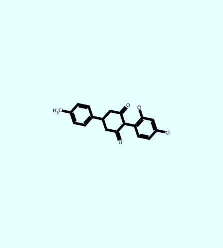 Cc1ccc(C2CC(=O)C(c3ccc(Cl)cc3Cl)C(=O)C2)cc1